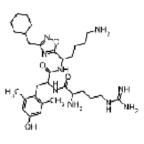 Cc1cc(O)cc(C)c1CC(NC(=O)C(N)CCCNC(=N)N)C(=O)NC(CCCCN)c1nc(CC2CCCCC2)no1